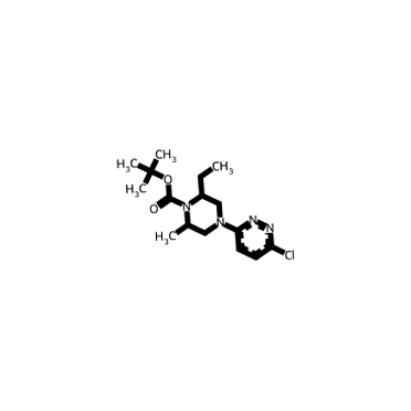 CCC1CN(c2ccc(Cl)nn2)CC(C)N1C(=O)OC(C)(C)C